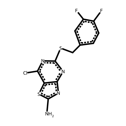 Nc1nc2nc(SCc3ccc(F)c(F)c3)nc(Cl)c2s1